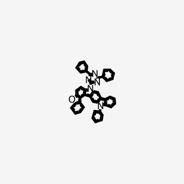 c1ccc(-c2nc(-c3ccccc3)nc(-n3c4cc5c6ccccc6n(-c6ccccc6)c5cc4c4c5c(ccc43)oc3ccccc35)n2)cc1